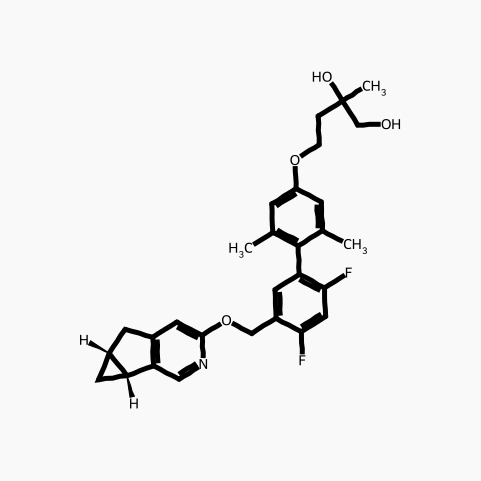 Cc1cc(OCCC(C)(O)CO)cc(C)c1-c1cc(COc2cc3c(cn2)[C@@H]2C[C@@H]2C3)c(F)cc1F